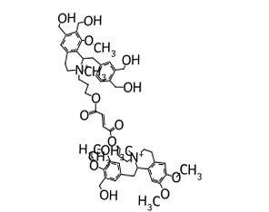 COc1cc2c(cc1OC)C(Cc1cc(CO)c(OC)c(OC)c1)[N+](C)(CCCOC(=O)/C=C/C(=O)OCCC[N+]1(C)CCc3cc(CO)c(CO)c(OC)c3C1Cc1ccc(CO)c(CO)c1)CC2